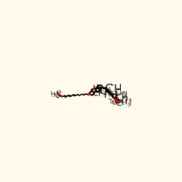 CC(C)CCC[C@@H](C)[C@H]1CC[C@H]2C3CC=C4CC(CCCCCCC=CCCCCCCCC(=O)O)CC[C@]4(C)C3CC[C@]12C